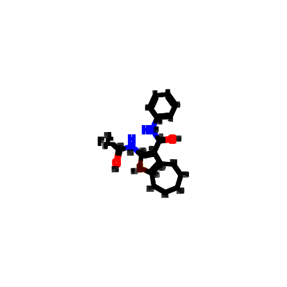 O=C(Nc1ccccc1)c1c(NC(=O)C(F)(F)F)sc2c1CCCCC2